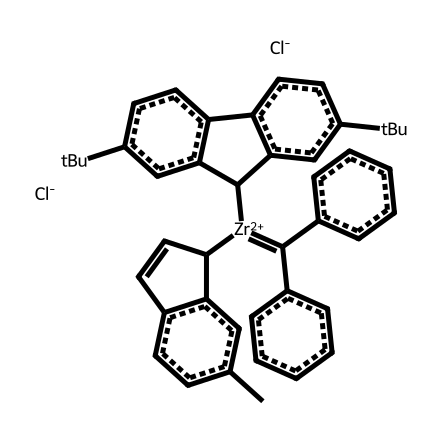 Cc1ccc2c(c1)[CH]([Zr+2](=[C](c1ccccc1)c1ccccc1)[CH]1c3cc(C(C)(C)C)ccc3-c3ccc(C(C)(C)C)cc31)C=C2.[Cl-].[Cl-]